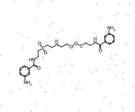 Nc1cccc(C(=O)NCCSOOCCNCCS(=O)(=O)CCNC(=O)c2cccc(N)c2)c1